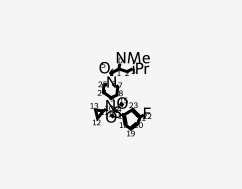 CNC(CC(C)C)C(=O)N1CCC(N(C2CC2)S(=O)(=O)c2cccc(F)c2)CC1